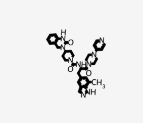 Cc1cc(CC(NC(=O)N2CCC(N3Cc4ccccc4NC3=O)CC2)C(=O)N2CCN(c3ccncc3)CC2)cc2cn[nH]c12